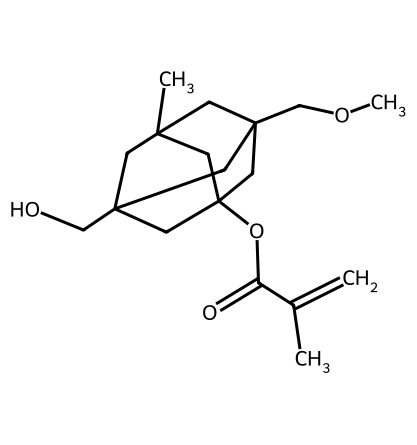 C=C(C)C(=O)OC12CC3(C)CC(CO)(CC(COC)(C3)C1)C2